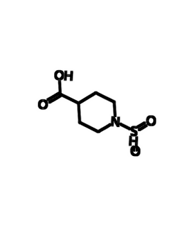 O=C(O)C1CCN([SH](=O)=O)CC1